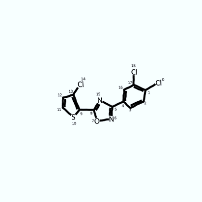 Clc1ccc(-c2noc(-c3sccc3Cl)n2)cc1Cl